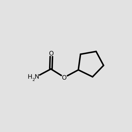 NC(=O)OC1CCCC1